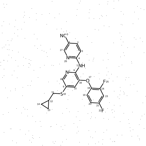 N#Cc1ccc(Nc2ncc(SCC3CC3)cc2Oc2ccc(F)cc2F)nc1